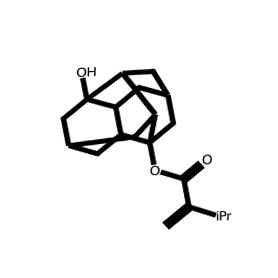 C=C(C(=O)OC12CC3CC4C1CC1CC2C(C3)C4(O)C1)C(C)C